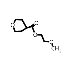 COCCOC(=O)C1CCOCC1